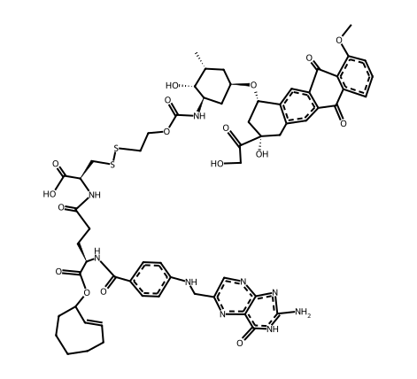 COc1cccc2c1C(=O)c1cc3c(cc1C2=O)C[C@@](O)(C(=O)CO)C[C@@H]3O[C@@H]1C[C@@H](C)[C@@H](O)[C@H](NC(=O)OCCSSC[C@@H](NC(=O)CC[C@@H](NC(=O)c2ccc(NCc3cnc4nc(N)[nH]c(=O)c4n3)cc2)C(=O)OC2/C=C/CCCCC2)C(=O)O)C1